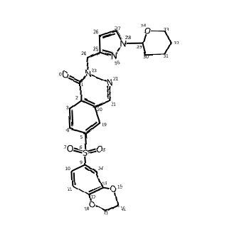 O=c1c2ccc(S(=O)(=O)c3ccc4c(c3)OCCO4)cc2cnn1Cc1ccn(C2CCCCO2)n1